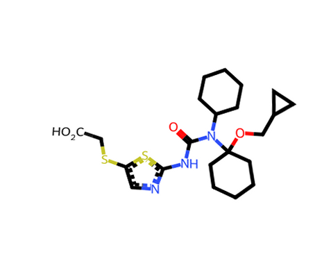 O=C(O)CSc1cnc(NC(=O)N(C2CCCCC2)C2(OCC3CC3)CCCCC2)s1